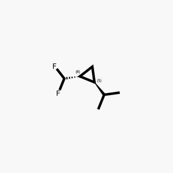 CC(C)[C@@H]1C[C@H]1C(F)F